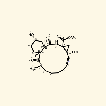 COC(=O)[C@@]12C[C@H]1/C=C\CCCCN(C)C(=O)[C@@H]1CC[C@H](O)C[C@H]1C(=O)N2